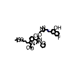 COC(=O)c1c(CCCO[Si](C)(C)C(C)(C)C)c2ccc(Cl)c(-c3c(COCc4cc(/C=C/c5cc(O)c6ccc(F)cc6c5)n(C)n4)nn(C4CCCCO4)c3C)c2n1C